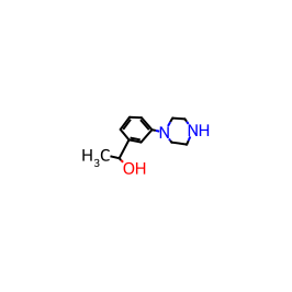 CC(O)c1cccc(N2CCNCC2)c1